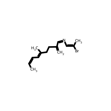 C=C(/C=N\C=C(/C)Br)CC/C(C)=C/C=C\C